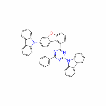 c1ccc(-c2nc(-c3cccc4oc5cc(-n6c7ccccc7c7ccccc76)ccc5c34)nc(-n3c4ccccc4c4ccccc43)n2)cc1